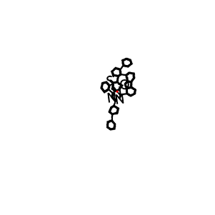 c1ccc(-c2ccc(-c3nc(-c4ccccc4)nc(-c4cccc5c4oc4c(-c6c(-c7ccccc7)ccc7sc8ccccc8c67)cccc45)n3)cc2)cc1